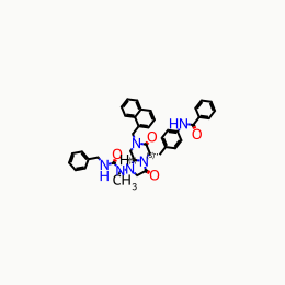 CN(C(=O)NCc1ccccc1)N1CC(=O)N2[C@@H](Cc3ccc(NC(=O)c4ccccc4)cc3)C(=O)N(Cc3cccc4ccccc34)C[C@@H]21